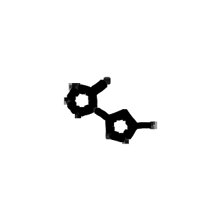 O=c1[nH]nnn1-c1cc(Cl)no1